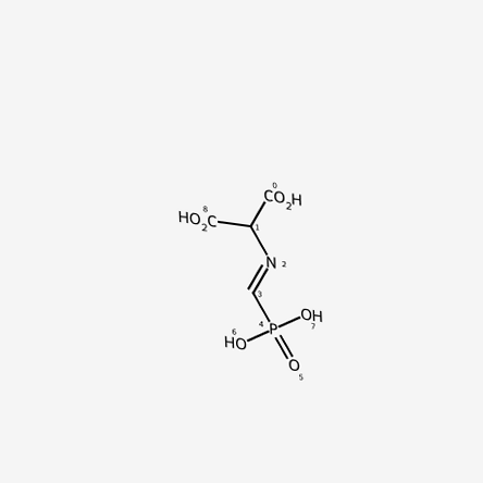 O=C(O)C(N=CP(=O)(O)O)C(=O)O